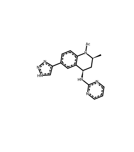 CC(=O)N1c2ccc(-c3c[nH]nn3)cc2[C@H](Nc2ncccn2)C[C@@H]1C